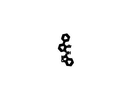 Brc1c(Nc2noc3ccccc23)cccc1-c1ccccc1